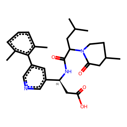 Cc1cccc(C)c1-c1cncc([C@H](CC(=O)O)NC(=O)C(CC(C)C)N2CCC(C)CC2=O)c1